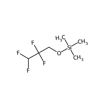 C[Si](C)(C)OCC(F)(F)C(F)F